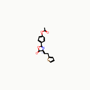 CC(=O)Oc1ccc(C2=N/C(=C\Cc3cccs3)C(=O)O2)cc1